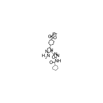 CC(C)S(=O)(=O)c1ccc(-c2cnc(N)c(-c3nnc(NC(=O)C4CCCCC4)o3)n2)cc1